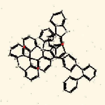 c1ccc(-c2ccccc2-c2ccc(N(c3ccc4c(c3)oc3ccccc34)c3cccc4c3[Si](c3ccccc3)(c3ccccc3)c3ccccc3C43c4ccccc4Sc4ccccc43)cc2)cc1